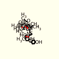 CCCC(=O)OCN(C(O)[C@H](NC(=O)[C@H](CC)N(C)C)C(C)CC)[C@@H](C[C@H](OC(C)=O)c1nc(C(=O)N[C@H](Cc2ccc(O)cc2)C[C@@H](C)C(=O)O)cs1)C(C)C